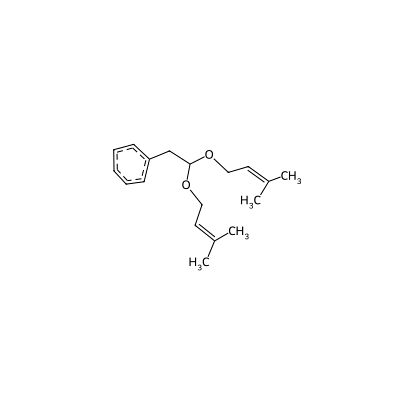 CC(C)=CCOC(Cc1ccccc1)OCC=C(C)C